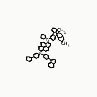 CC1CC2CC(C)C3(c4ccccc4-c4cc(N(c5ccccc5)c5ccc6ccc7c(N(c8ccc(-c9ccccc9)cc8)c8ccc(-c9cccc%10ccccc9%10)cc8)ccc8ccc5c6c87)ccc43)C(C1)C2